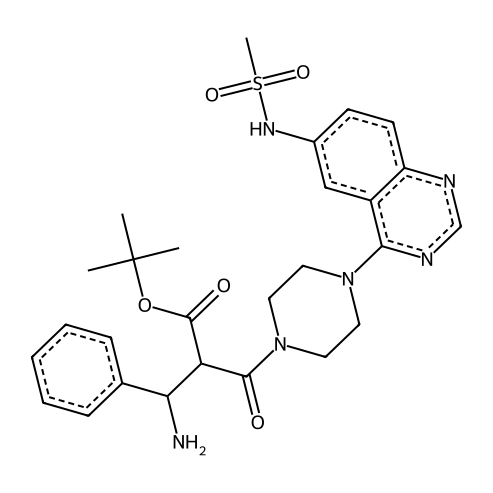 CC(C)(C)OC(=O)C(C(=O)N1CCN(c2ncnc3ccc(NS(C)(=O)=O)cc23)CC1)C(N)c1ccccc1